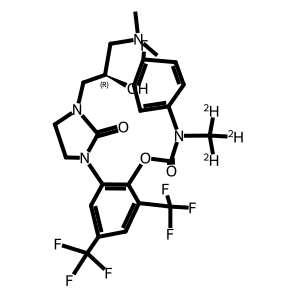 [2H]C([2H])([2H])N(C(=O)Oc1c(N2CCN(C[C@H](O)CN(C)C)C2=O)cc(C(F)(F)F)cc1C(F)(F)F)c1ccc(F)cc1